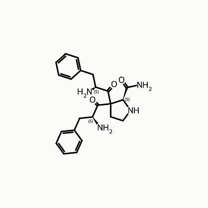 NC(=O)[C@H]1NCCC1(C(=O)[C@@H](N)Cc1ccccc1)C(=O)[C@@H](N)Cc1ccccc1